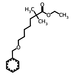 CCOC(=O)C(C)(C)CCCCCOCc1ccccc1